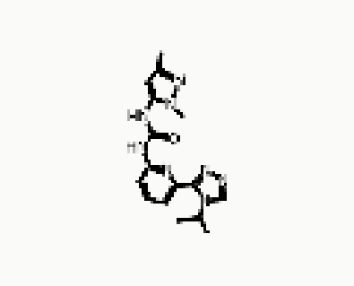 Cc1cc(NC(=O)Nc2cccc(-c3nncn3C(C)C)n2)n(C)n1